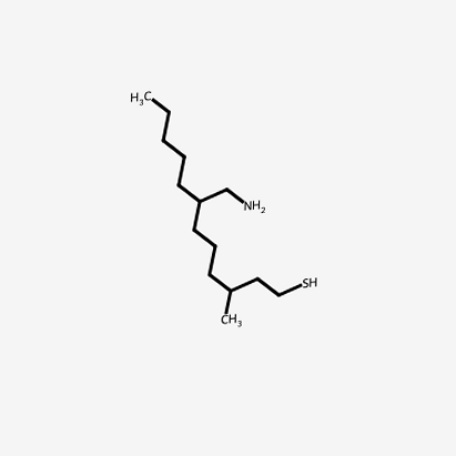 CCCCCC(CN)CCCC(C)CCS